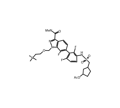 CNC(=O)c1nn(COCC[Si](C)(C)C)c2c(F)c(-c3c(F)ccc(NS(=O)(=O)CC4CCC(OC(C)=O)C4)c3F)ccc12